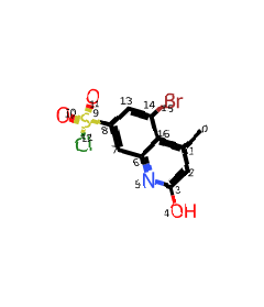 Cc1cc(O)nc2cc(S(=O)(=O)Cl)cc(Br)c12